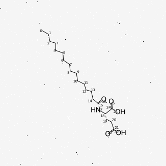 CCCCCCCCCCCCCCCC(=O)N[C@@H](CCC(=O)O)C(=O)O